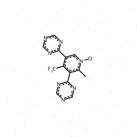 Cc1c(-c2ncncn2)c(C(F)(F)F)c(-c2ncncn2)c[n+]1[O-]